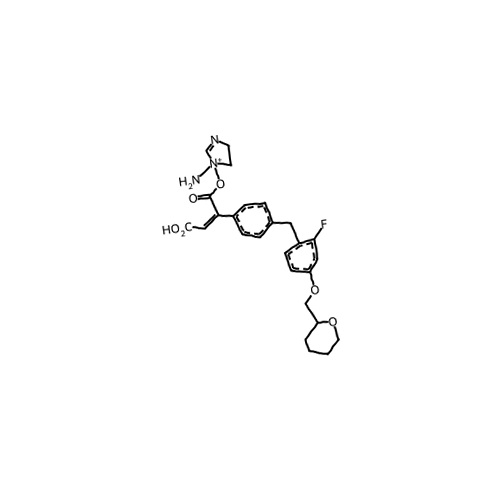 N[N+]1(OC(=O)/C(=C\C(=O)O)c2ccc(Cc3ccc(OCC4CCCCO4)cc3F)cc2)C=NCC1